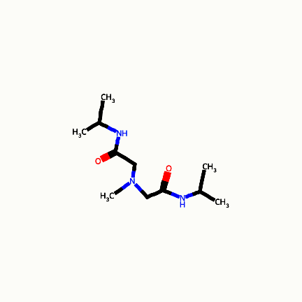 CC(C)NC(=O)CN(C)CC(=O)NC(C)C